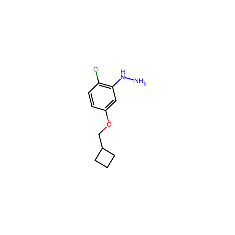 NNc1cc(OCC2CCC2)ccc1Cl